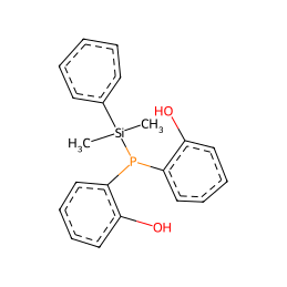 C[Si](C)(c1ccccc1)P(c1ccccc1O)c1ccccc1O